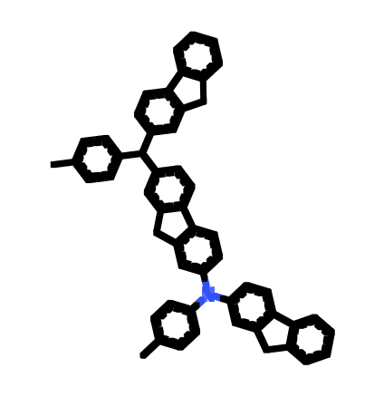 Cc1ccc(C(c2ccc3c(c2)Cc2ccccc2-3)c2ccc3c(c2)Cc2cc(N(c4ccc(C)cc4)c4ccc5c(c4)Cc4ccccc4-5)ccc2-3)cc1